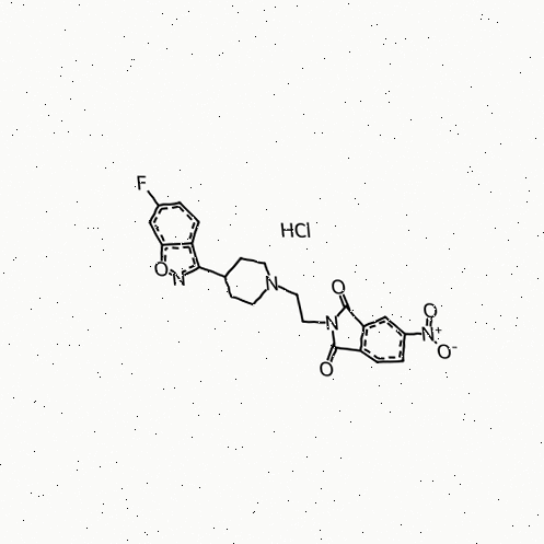 Cl.O=C1c2ccc([N+](=O)[O-])cc2C(=O)N1CCN1CCC(c2noc3cc(F)ccc23)CC1